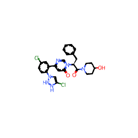 O=C([C@H](Cc1ccccc1)n1cnc(-c2cc(Cl)ccc2N2C=C(Cl)NN2)cc1=O)N1CCC(O)CC1